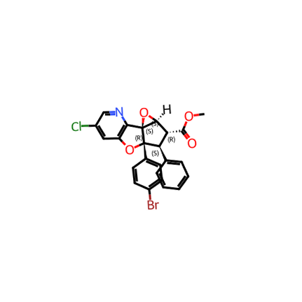 COC(=O)[C@@H]1[C@@H](c2ccccc2)[C@]2(c3ccc(Br)cc3)Oc3cc(Cl)cnc3[C@@]23O[C@@H]13